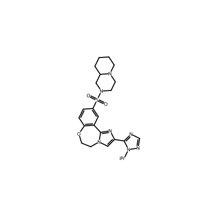 CC(C)n1ncnc1-c1cn2c(n1)-c1cc(S(=O)(=O)N3CCN4CCCCC4C3)ccc1OCC2